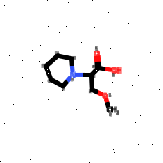 COCC(C(=O)O)N1CCCCC1